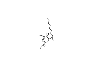 CCCCCCCCN(C)C(CC(=O)OCC)C(=O)OCC